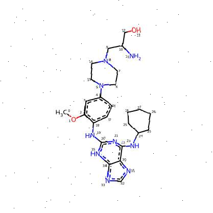 COc1cc(N2CCN(CC(N)CO)CC2)ccc1Nc1nc(NC2CCCCC2)c2ncnc-2[nH]1